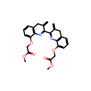 C=C1Cc2cccc(OCC(=O)OC)c2N=C1C1=Nc2c(cccc2OCC(=O)OC)CC1=C